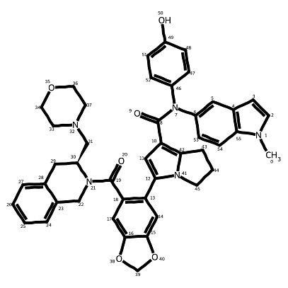 Cn1ccc2cc(N(C(=O)c3cc(-c4cc5c(cc4C(=O)N4Cc6ccccc6C[C@H]4CN4CCOCC4)OCO5)n4c3CCC4)c3ccc(O)cc3)ccc21